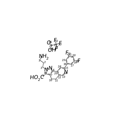 NCCCn1nc2c(c1C(=O)O)CCc1cnc(-c3cc(F)cc(F)c3)cc1-2.O=C(O)C(F)(F)F